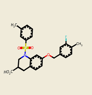 Cc1cccc(S(=O)(=O)N2CC(C(=O)O)Cc3ccc(OCc4ccc(C)c(F)c4)cc32)c1